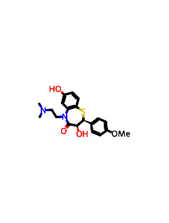 COc1ccc([C@@H]2Sc3ccc(O)cc3N(CCN(C)C)C(=O)[C@@H]2O)cc1